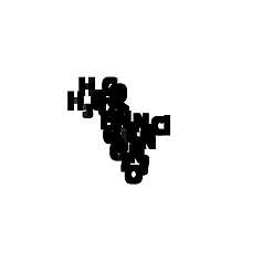 COC(CNc1nc(Cl)nc(N2CCOCC2)c1[N+](=O)[O-])OC